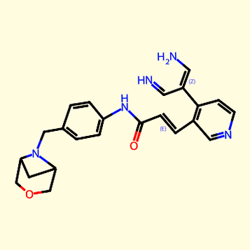 N=C/C(=C\N)c1ccncc1/C=C/C(=O)Nc1ccc(CN2C3COCC2C3)cc1